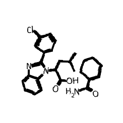 CC(C)CC(C(=O)O)n1c(-c2cccc(Cl)c2)nc2ccccc21.NC(=O)C1CCCCC1